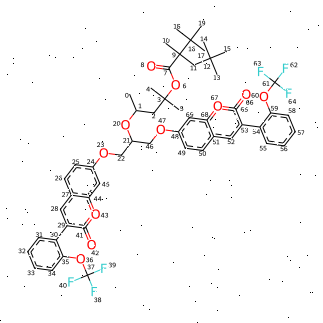 CC(CC(C)(C)OC(=O)C(C)(CC(C)(C)C)C(C)(C)C)OC(COc1ccc2cc(-c3ccccc3OC(F)(F)F)c(=O)oc2c1)COc1ccc2cc(-c3ccccc3OC(F)(F)F)c(=O)oc2c1